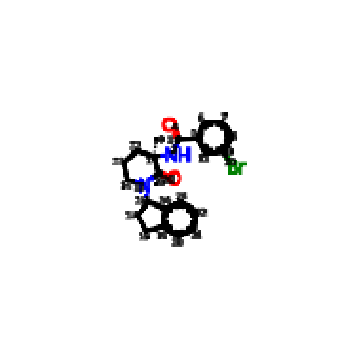 C[C@@]1(NC(=O)c2cccc(Br)c2)CCCN([C@H]2CCc3ccccc32)C1=O